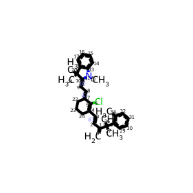 C=C(/C=C/C1=C(Cl)C(=C/C=C2\N(C)c3ccccc3C2(C)C)/CCC1)C(C)(C)c1ccccc1C